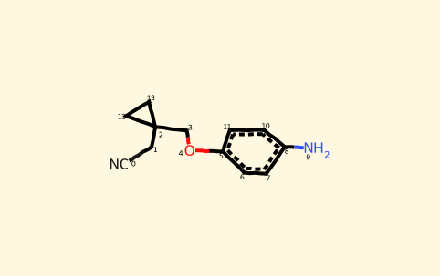 N#CCC1(COc2ccc(N)cc2)CC1